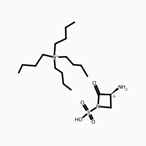 CCCC[N+](CCCC)(CCCC)CCCC.N[C@H]1CN(S(=O)(=O)O)C1=O